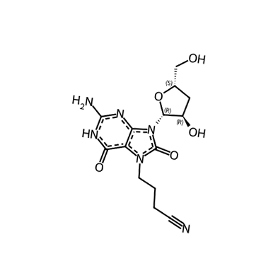 N#CCCCn1c(=O)n([C@@H]2O[C@H](CO)C[C@H]2O)c2nc(N)[nH]c(=O)c21